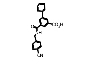 N#Cc1ccc(CNC(=O)c2cc(C(=O)O)cc(-c3ccccc3)c2)cc1